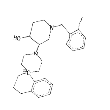 OC1CCN(Cc2ccccc2I)CC1N1CC[13C]2(CCCc3ccccc32)CC1